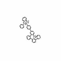 c1ccc(-n2c(-c3ccc(-c4ccc5c(c4)-c4ccccc4-c4cccc6c7ccccc7n-5c46)cc3)nc3ccccc32)cc1